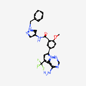 COc1ccc(-c2cc(C(F)(F)F)c3c(N)ncnn23)cc1C(=O)Nc1cnn(Cc2ccccc2)c1